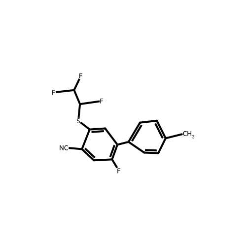 Cc1ccc(-c2cc(SC(F)C(F)F)c(C#N)cc2F)cc1